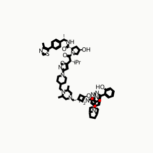 Cc1ncsc1-c1ccc([C@H](C)NC(=O)[C@@H]2C[C@@H](O)CN2C(=O)[C@@H](c2cc(N3CCC(CN4C(C)CN(C[C@H]5C[C@H](Oc6cc(N7C8CCC7CN(c7cc(-c9ccccc9O)nnc7N)C8)ccn6)C5)CC4C)CC3)no2)C(C)C)cc1